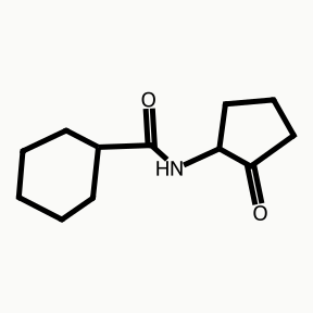 O=C(NC1CCCC1=O)C1CCCCC1